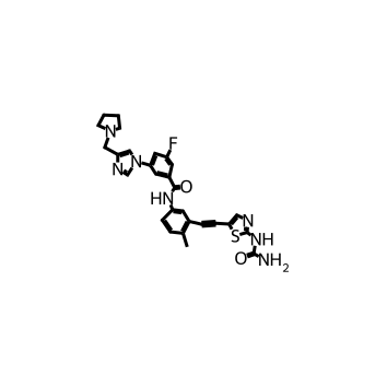 Cc1ccc(NC(=O)c2cc(F)cc(-n3cnc(CN4CCCC4)c3)c2)cc1C#Cc1cnc(NC(N)=O)s1